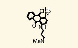 C=C1c2ccccc2C(=O)c2c(NCCCNC)ccc(N)c21